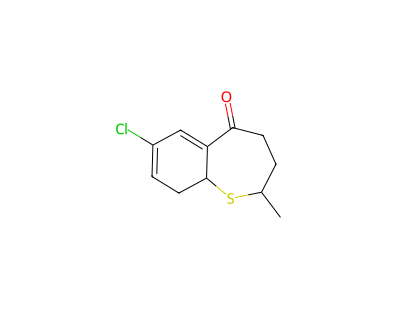 CC1CCC(=O)C2=CC(Cl)=CCC2S1